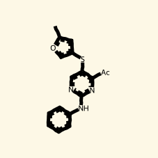 CC(=O)c1nc(Nc2ccccc2)ncc1Sc1coc(C)c1